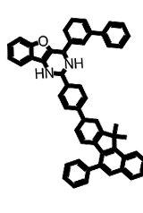 CC1(C)C2=C(C=CC(C3=CCC(C4Nc5c(oc6ccccc56)C(C5=CC(c6ccccc6)=CCC5)N4)C=C3)C2)c2c(-c3ccccc3)cc3ccccc3c21